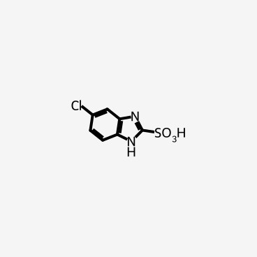 O=S(=O)(O)c1nc2cc(Cl)ccc2[nH]1